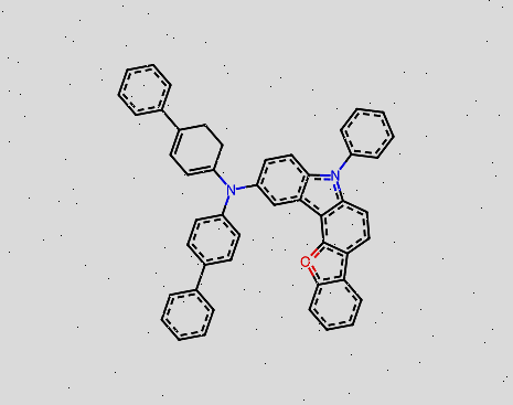 C1=C(c2ccccc2)CCC(N(c2ccc(-c3ccccc3)cc2)c2ccc3c(c2)c2c4oc5ccccc5c4ccc2n3-c2ccccc2)=C1